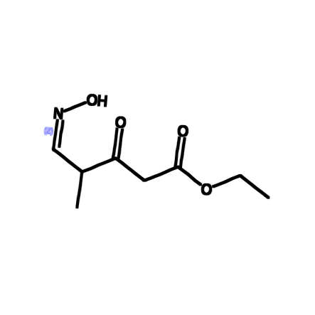 CCOC(=O)CC(=O)C(C)/C=N\O